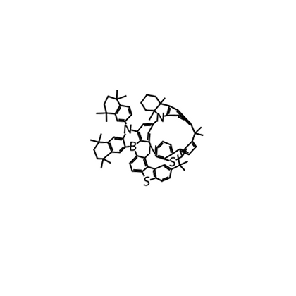 CC(C)(C)c1ccc2sc3ccc4c(c3c2c1)N1c2cc(cc3c2B4c2cc4c(cc2N3c2ccc3c(c2)C(C)(C)CCC3(C)C)C(C)(C)CCC4(C)C)N2c3ccc(cc3C3(C)CCCCC23C)C(C)(C)c2ccc3c(c2)sc2c1cccc23